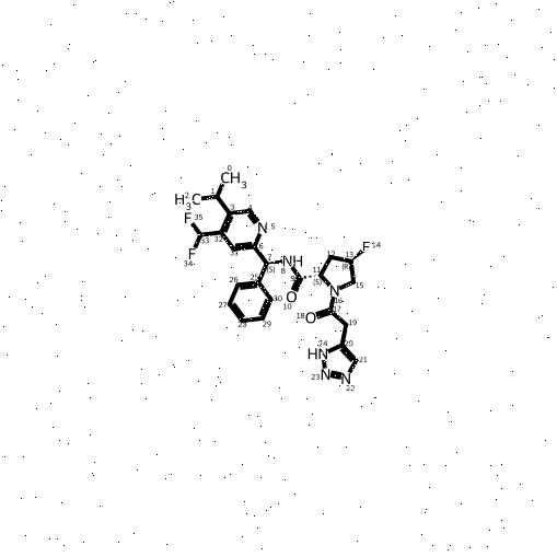 CC(C)c1cnc([C@@H](NC(=O)[C@@H]2C[C@@H](F)CN2C(=O)Cc2cnn[nH]2)c2ccccc2)cc1C(F)F